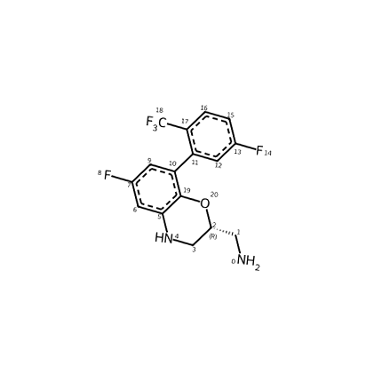 NC[C@@H]1CNc2cc(F)cc(-c3cc(F)ccc3C(F)(F)F)c2O1